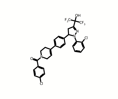 O=C(c1ccc(Cl)cc1)N1CC=C(c2ccc(C3CC(C(O)(C(F)(F)F)C(F)(F)F)=NN3c3ccccc3Cl)cc2)CC1